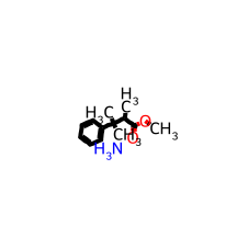 COC(=O)C(C)C(C)(C)c1ccccc1.N